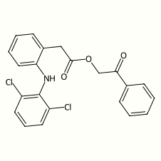 O=C(Cc1ccccc1Nc1c(Cl)cccc1Cl)OCC(=O)c1ccccc1